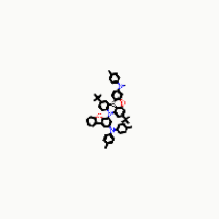 Cc1ccc(N(C)c2ccc3c(c2)Oc2cc(C(C)(C)C)cc4c2B3c2cc(C(C)(C)C)ccc2N4c2cc(N(c3ccc(C)cc3)c3ccc(C)cc3)cc3c2oc2ccccc23)cc1